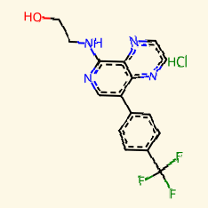 Cl.OCCNc1ncc(-c2ccc(C(F)(F)F)cc2)c2nccnc12